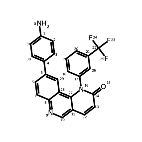 Nc1ccc(-c2ccc3ncc4ccc(=O)n(-c5cccc(C(F)(F)F)c5)c4c3c2)cc1